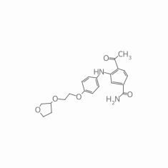 CC(=O)c1ccc(C(N)=O)cc1Nc1ccc(OCCOC2CCOC2)cc1